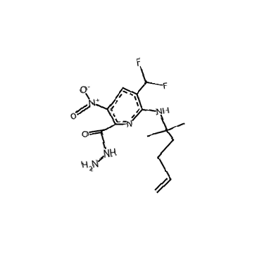 C=CCCC(C)(C)Nc1nc(C(=O)NN)c([N+](=O)[O-])cc1C(F)F